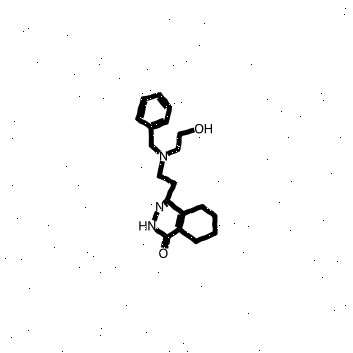 O=c1[nH]nc(CCN(CCO)Cc2ccccc2)c2c1CCCC2